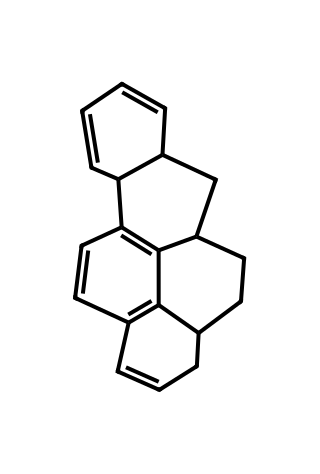 C1=CC2CC3CCC4CC=Cc5ccc(c3c54)C2C=C1